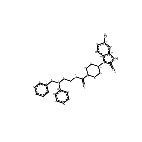 O=C(OCCN(Cc1ccccc1)c1ccccc1)N1CCC(n2c(=O)[nH]c3cc(Cl)ccc32)CC1